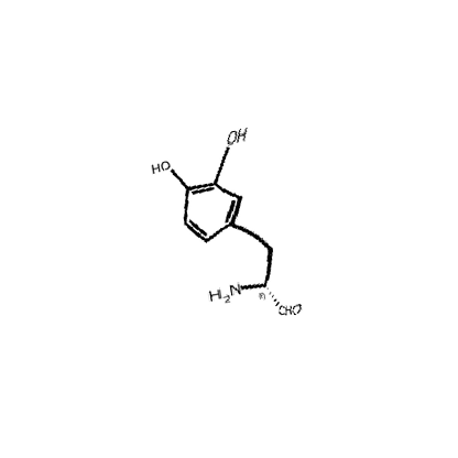 N[C@@H](C=O)Cc1ccc(O)c(O)c1